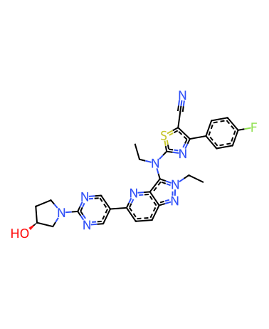 CCN(c1nc(-c2ccc(F)cc2)c(C#N)s1)c1c2nc(-c3cnc(N4CC[C@H](O)C4)nc3)ccc2nn1CC